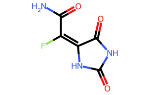 NC(=O)C(F)=C1NC(=O)NC1=O